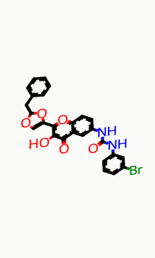 O=C(Nc1cccc(Br)c1)Nc1ccc2oc(C3=COC(Cc4ccccc4)O3)c(O)c(=O)c2c1